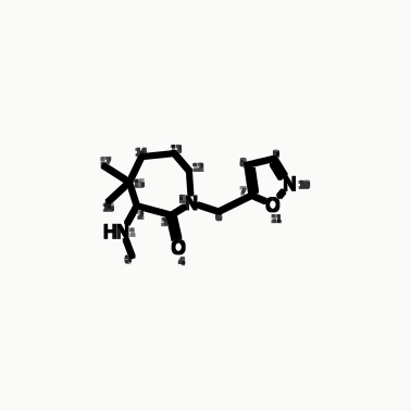 CNC1C(=O)N(Cc2ccno2)CCCC1(C)C